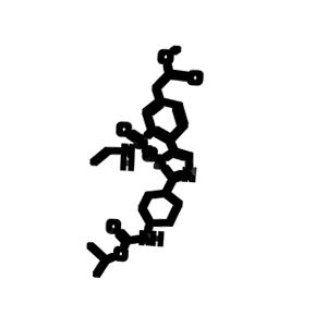 CCNS(=O)(=O)c1cc(CC(=O)OC)ccc1-c1cnc(C2CCC(NC(=O)OC(C)C)CC2)s1